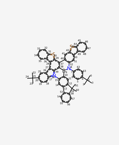 CC(C)(C)c1ccc(N2B3c4cc5c(cc4-n4c6ccc(C(C)(C)C)cc6c6c7c(sc8ccccc87)c(c3c64)-c3cc4sc6ccccc6c4cc32)-c2ccccc2C5(C)C)cc1